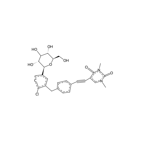 Cn1cc(C#Cc2ccc(Cc3cc([C@@H]4O[C@H](CO)[C@@H](O)C(O)[C@H]4O)ccc3Cl)cc2)c(=O)n(C)c1=O